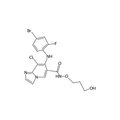 O=C(NOCCCO)c1cn2ccnc2c(Cl)c1Nc1ccc(Br)cc1F